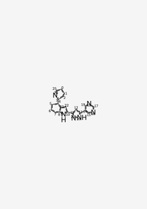 c1ccc(-c2cccc3[nH]c(-c4cc(-c5cncnc5)[nH]n4)cc23)nc1